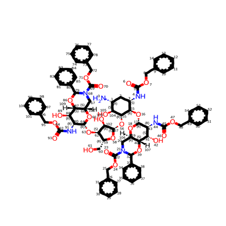 N[C@@H]1C[C@H](NC(=O)OCc2ccccc2)[C@@H](O[C@H]2O[C@@H]3CN(C(=O)OCc4ccccc4)C(c4ccccc4)O[C@H]3[C@@H](O)[C@H]2NC(=O)OCc2ccccc2)[C@H](O[C@@H]2O[C@H](CO)[C@@H](O[C@H]3O[C@H]4CN(C(=O)OCc5ccccc5)C(c5ccccc5)O[C@H]4[C@H](O)[C@H]3NC(=O)OCc3ccccc3)[C@H]2O)[C@H]1O